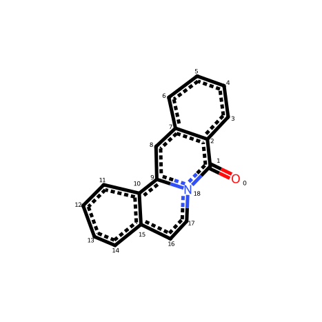 O=c1c2ccccc2cc2c3ccccc3ccn12